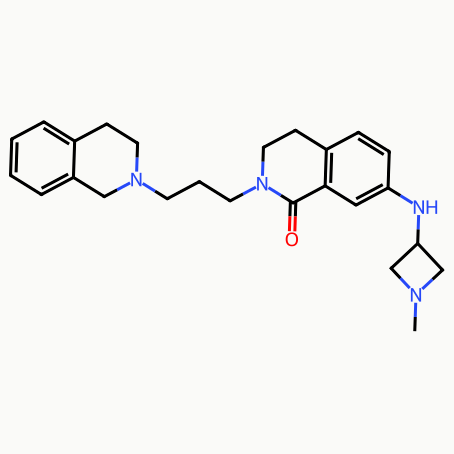 CN1CC(Nc2ccc3c(c2)C(=O)N(CCCN2CCc4ccccc4C2)CC3)C1